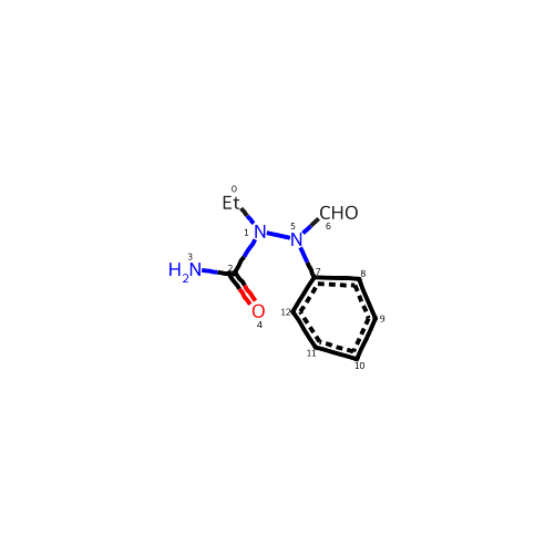 CCN(C(N)=O)N(C=O)c1ccccc1